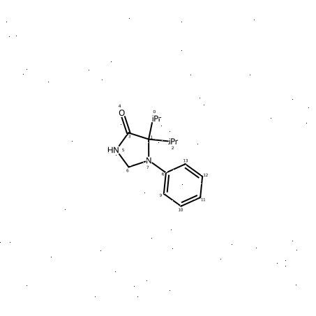 CC(C)C1(C(C)C)C(=O)NCN1c1ccccc1